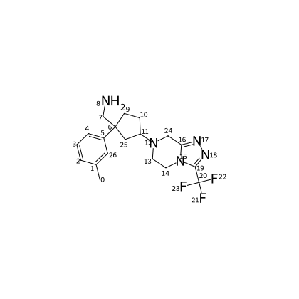 Cc1cccc(C2(CN)CCC(N3CCn4c(nnc4C(F)(F)F)C3)C2)c1